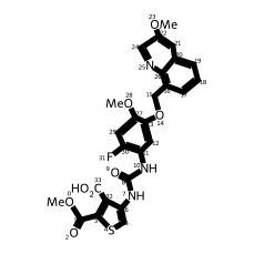 COC(=O)c1scc(NC(=O)Nc2cc(OCc3cccc4cc(OC)cnc34)c(OC)cc2F)c1C(=O)O